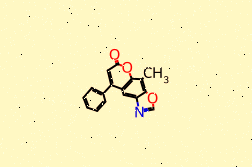 Cc1c2ocnc2cc2c(-c3ccccc3)cc(=O)oc12